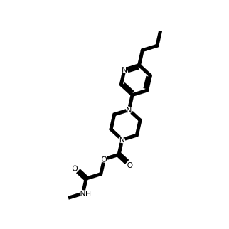 CCCc1ccc(N2CCN(C(=O)OCC(=O)NC)CC2)cn1